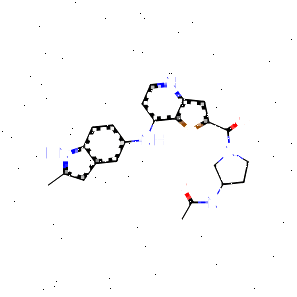 CC(=O)NC1CCN(C(=O)c2cc3nccc(Nc4ccc5[nH]c(C)cc5c4)c3s2)C1